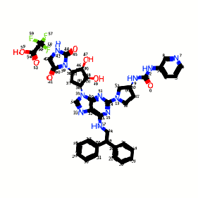 O=C(Nc1cccnc1)N[C@@H]1CCN(c2nc(NCC(c3ccccc3)c3ccccc3)c3ncn([C@@H]4C[C@H](N5C(=O)CNC5=O)[C@@H](O)[C@H]4O)c3n2)C1.O=C(O)C(F)(F)F